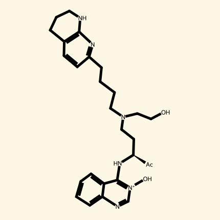 CC(=O)[C@H](CCN(CCO)CCCCc1ccc2c(n1)NCCC2)Nc1c2ccccc2nc[n+]1O